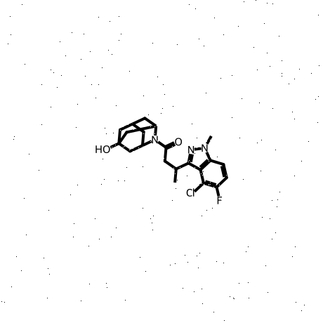 CC(CC(=O)N1C2CC3CC1CC(O)(C3)C2)c1nn(C)c2ccc(F)c(Cl)c12